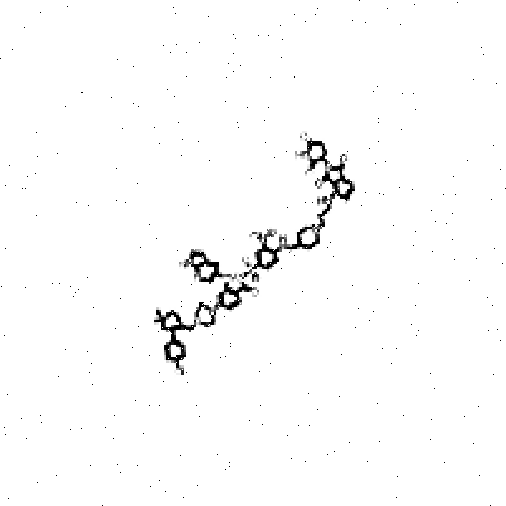 CC1(C)CCC(CN2CCN(c3ccc(C(=O)NS(=O)(=O)c4ccc(NCC5CCN(CCCNc6cccc7c6C(=O)N(C6CCC(=O)NC6=O)C7=O)CC5)c([N+](=O)[O-])c4)c(Oc4cnc5[nH]ccc5c4)c3)CC2)=C(c2ccc(Cl)cc2)C1